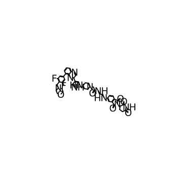 N=C/C(=C\NC1CCN(CC(=O)NCCNc2ccc3c(c2)C(=O)N(C2CCC(=O)NC2=O)C3=O)CC1)c1cnc2cccc(-c3cc(F)c(CN4CCOCC4)c(F)c3)c2n1